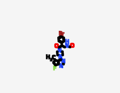 C[C@@H]1C[C@@H](F)c2ncnc(N3CCN(C(=O)C(CNC=O)c4ccc(Br)cc4)CC3)c21